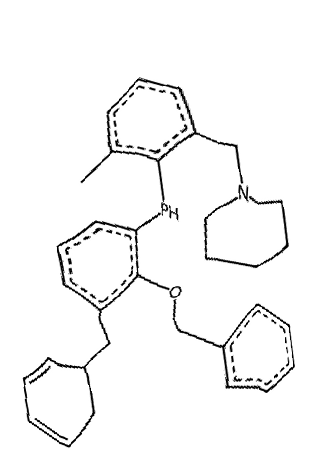 Cc1cccc(CN2CCCCC2)c1Pc1cccc(CC2C=CC=CC2)c1OCc1ccccc1